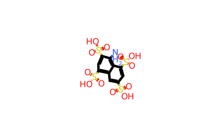 Nc1c(S(=O)(=O)O)cc(S(=O)(=O)O)c2cc(S(=O)(=O)O)cc(S(=O)(=O)O)c12